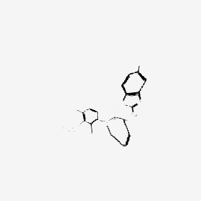 COc1c(C=O)ccc(N2CCC[C@@H](Nc3nc4cc(Cl)ccc4o3)[C@H]2C)c1F